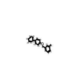 Cc1cccc(COc2ccc(-c3ccccc3)cc2)c1